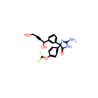 NC1=NC(c2ccc(OC(F)F)cc2)(c2cccc(C(O)C#CCO)c2)C(=O)N1